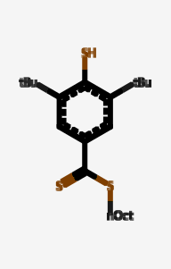 CCCCCCCCSC(=S)c1cc(C(C)(C)C)c(S)c(C(C)(C)C)c1